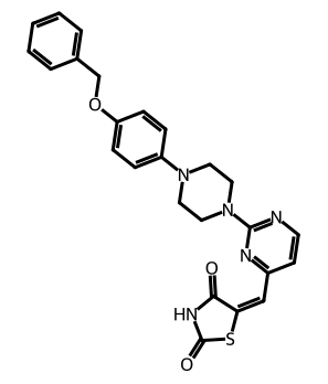 O=C1NC(=O)/C(=C\c2ccnc(N3CCN(c4ccc(OCc5ccccc5)cc4)CC3)n2)S1